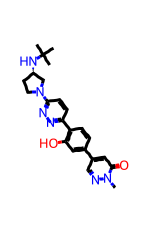 Cn1ncc(-c2ccc(-c3ccc(N4CC[C@H](NC(C)(C)C)C4)nn3)c(O)c2)cc1=O